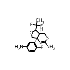 CC(F)(F)C1OC[C@]2(c3cc(N)ccc3F)N=C(N)SC[C@H]12